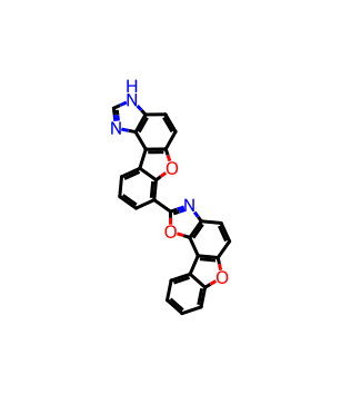 c1ccc2c(c1)oc1ccc3nc(-c4cccc5c4oc4ccc6[nH]cnc6c45)oc3c12